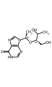 CC(O)[C@@H](CO)O[C@H](C)n1cnc2c(=O)[nH]cnc21